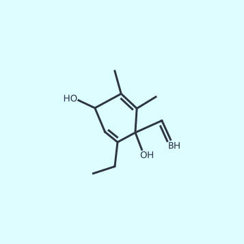 B=CC1(O)C(CC)=CC(O)C(C)=C1C